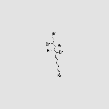 BrC=CC=CC=CC(Br)C(Br)C(Br)C(Br)CCBr